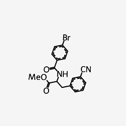 COC(=O)C(Cc1cccc(C#N)c1)NC(=O)c1ccc(Br)cc1